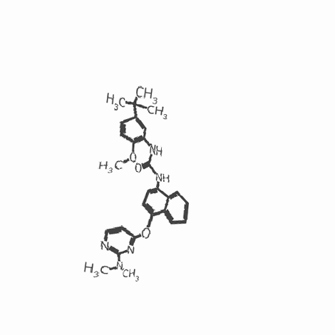 COc1ccc(C(C)(C)C)cc1NC(=O)Nc1ccc(Oc2ccnc(N(C)C)n2)c2ccccc12